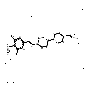 CCC/C=C/[C@H]1CC[C@H]([C@H]2CC[C@H](CCc3cc(F)c(OC(F)(F)F)c(F)c3)CC2)CC1